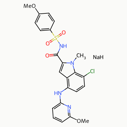 COc1ccc(S(=O)(=O)NC(=O)c2cc3c(Nc4cccc(OC)n4)ccc(Cl)c3n2C)cc1.[NaH]